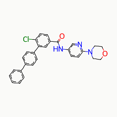 O=C(Nc1ccc(N2CCOCC2)nc1)c1ccc(Cl)c(-c2ccc(-c3ccccc3)cc2)c1